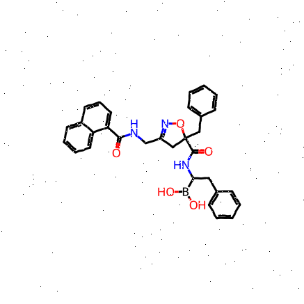 O=C(NCC1=NOC(Cc2ccccc2)(C(=O)NC(Cc2ccccc2)B(O)O)C1)c1cccc2ccccc12